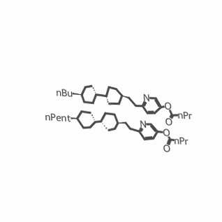 CCCCC[C@H]1CC[C@H]([C@H]2CC[C@H](CCc3ccc(OC(=O)CCC)cn3)CC2)CC1.CCCC[C@H]1CC[C@H]([C@H]2CC[C@H](CCc3ccc(OC(=O)CCC)cn3)CC2)CC1